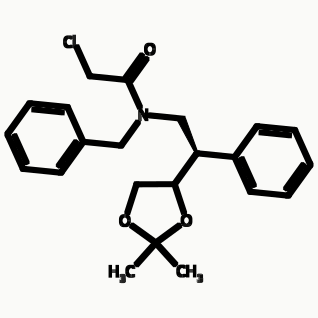 CC1(C)OCC([C@@H](CN(Cc2ccccc2)C(=O)CCl)c2ccccc2)O1